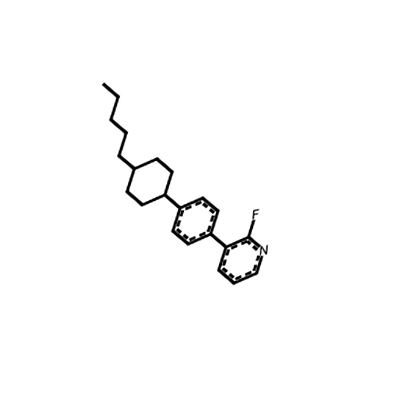 CCCCCC1CCC(c2ccc(-c3cccnc3F)cc2)CC1